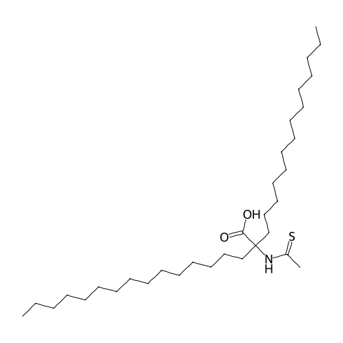 CCCCCCCCCCCCCCCC(CCCCCCCCCCCCCC)(NC(C)=S)C(=O)O